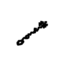 FC(F)(F)C(F)(F)CCCSCCCCOCc1ccccc1